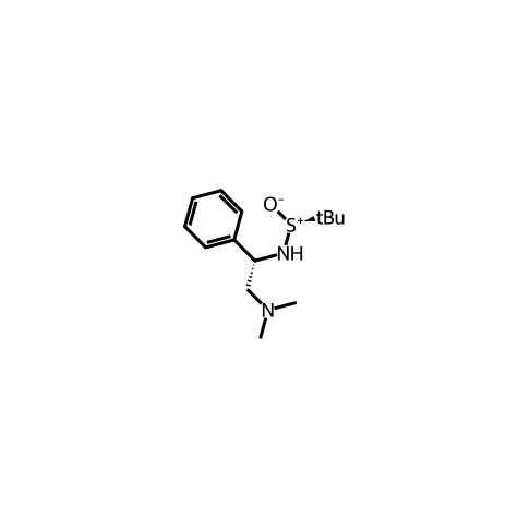 CN(C)C[C@@H](N[S@@+]([O-])C(C)(C)C)c1ccccc1